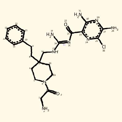 NCC(=O)N1CCC(CCc2ccccc2)(CN/C(N)=N/C(=O)c2nc(Cl)c(N)nc2N)CC1